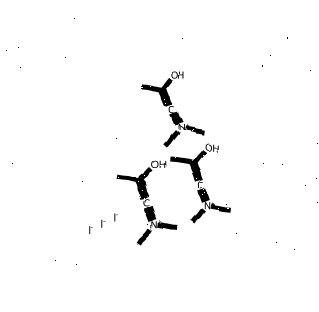 CC(O)=C=[N+](C)C.CC(O)=C=[N+](C)C.CC(O)=C=[N+](C)C.[I-].[I-].[I-]